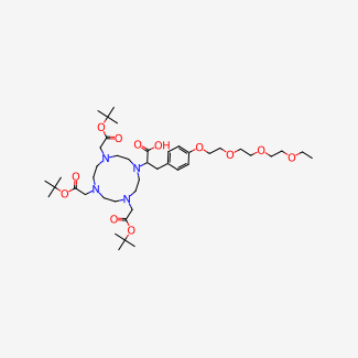 CCOCCOCCOCCOc1ccc(CC(C(=O)O)N2CCN(CC(=O)OC(C)(C)C)CCN(CC(=O)OC(C)(C)C)CCN(CC(=O)OC(C)(C)C)CC2)cc1